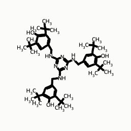 CC(C)(C)c1cc(CNc2nc(NCc3cc(C(C)(C)C)c(O)c(C(C)(C)C)c3)nc(NCc3cc(C(C)(C)C)c(O)c(C(C)(C)C)c3)n2)cc(C(C)(C)C)c1O